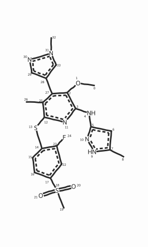 COc1c(Nc2cc(C)[nH]n2)nc(Sc2ccc(S(C)(=O)=O)cc2F)c(C)c1-c1cnn(C)c1